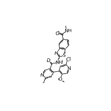 CNC(=O)c1ccc2sc(NC(=O)c3cnc(C)cc3-c3cc(Cl)ncc3OC)nc2c1